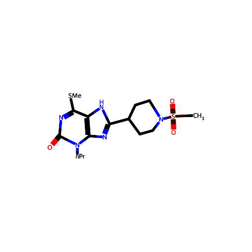 CCCn1c(=O)nc(SC)c2[nH]c(C3CCN(S(C)(=O)=O)CC3)nc21